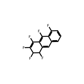 FC1=C(F)C(F)C(F)c2cc3cccc(F)c3c(F)c21